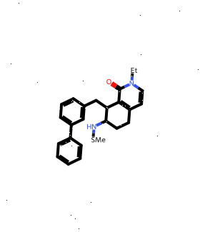 CCn1ccc2c(c1=O)C(Cc1cccc(-c3ccccc3)c1)C(NSC)CC2